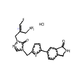 Cl.NC/C(=C\F)Cn1ncn(Cc2ccc(-c3ccc4c(c3)C(=O)NC4)s2)c1=O